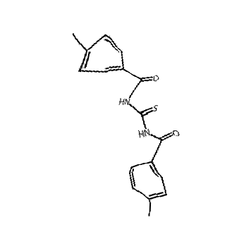 Cc1ccc(C(=O)NC(=S)NC(=O)c2ccc(C)cc2)cc1